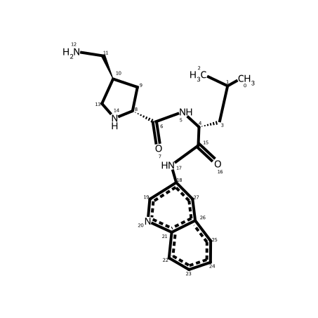 CC(C)C[C@@H](NC(=O)[C@H]1C[C@H](CN)CN1)C(=O)Nc1cnc2ccccc2c1